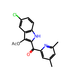 CC(=O)Oc1c(C(=O)c2cc(C)cc(C)n2)[nH]c2ccc(Cl)cc12